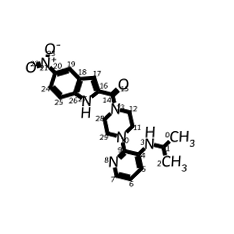 CC(C)Nc1cccnc1N1CCN(C(=O)c2cc3cc([N+](=O)[O-])ccc3[nH]2)CC1